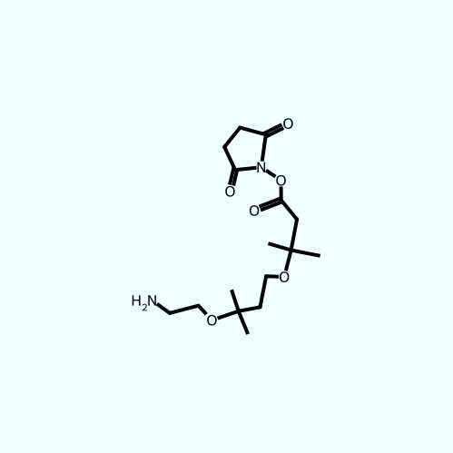 CC(C)(CCOC(C)(C)CC(=O)ON1C(=O)CCC1=O)OCCN